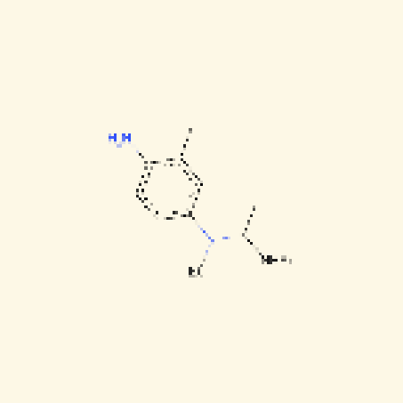 CCN(c1ccc(N)c(C)c1)C(C)NC(C)=O